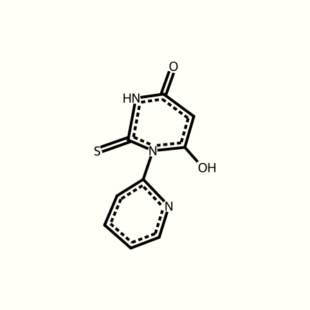 O=c1cc(O)n(-c2ccccn2)c(=S)[nH]1